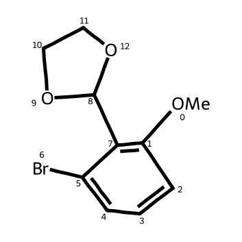 COc1cccc(Br)c1C1OCCO1